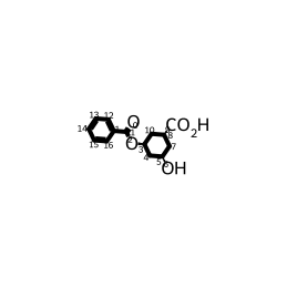 O=C(O[C@@H]1C[C@@H](O)C[C@@H](C(=O)O)C1)c1ccccc1